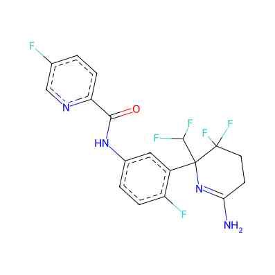 NC1=NC(c2cc(NC(=O)c3ccc(F)cn3)ccc2F)(C(F)F)C(F)(F)CC1